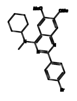 COc1cc2nc(-c3ccc(Br)cc3)nc(N(C)C3CCCCC3)c2cc1OC